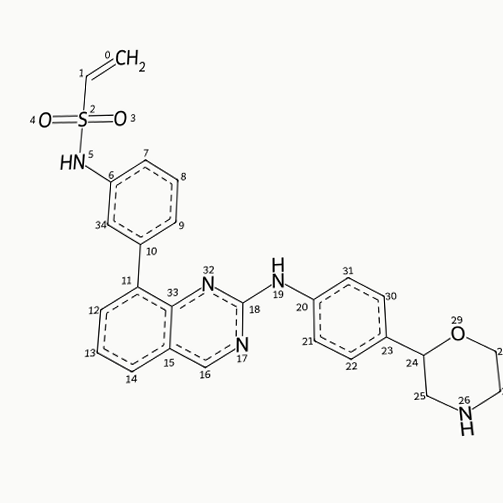 C=CS(=O)(=O)Nc1cccc(-c2cccc3cnc(Nc4ccc(C5CNCCO5)cc4)nc23)c1